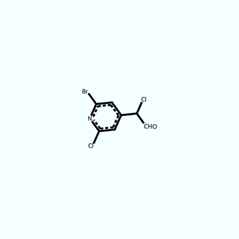 O=CC(Cl)c1cc(Cl)nc(Br)c1